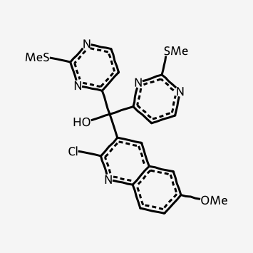 COc1ccc2nc(Cl)c(C(O)(c3ccnc(SC)n3)c3ccnc(SC)n3)cc2c1